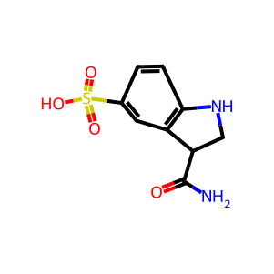 NC(=O)C1CNc2ccc(S(=O)(=O)O)cc21